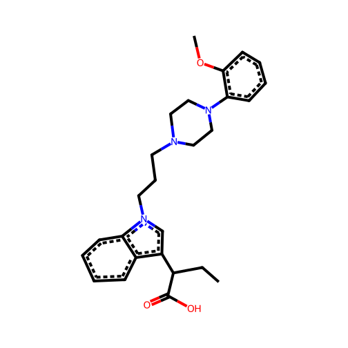 CCC(C(=O)O)c1cn(CCCN2CCN(c3ccccc3OC)CC2)c2ccccc12